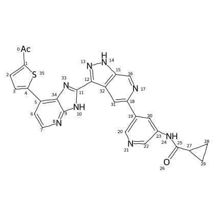 CC(=O)c1ccc(-c2ccnc3[nH]c(-c4n[nH]c5cnc(-c6cncc(NC(=O)C7CC7)c6)cc45)nc23)s1